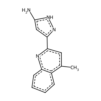 Cc1cc(-c2cc(N)[nH]n2)nc2ccccc12